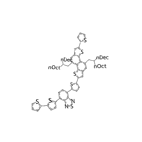 CCCCCCCCCCC(CCCCCCCC)Cc1cc2cc(-c3ccc(-c4ccc(-c5ccc(-c6cccs6)s5)c5nsnc45)s3)sc2c2c(CC(CCCCCCCC)CCCCCCCCCC)cc3cc(-c4cccs4)sc3c12